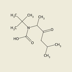 CC(C)CC(=O)C(C)N(C(=O)O)C(C)(C)C